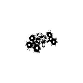 O=C(OCC1c2ccccc2-c2ccccc21)N1C[C@@H](C(c2ccccc2)(c2ccccc2)c2ccccc2)C[C@H]1C(O)=S